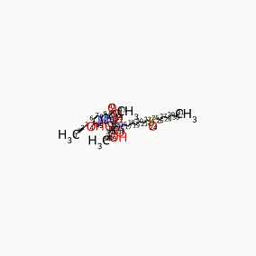 CC#CCOc1ccc(C[C@H](NC(=O)[C@@H](/C=C/CCCCCC[S+]([O-])CCCCCCC)[C@@](O)(CCC)C(=O)O)C(=O)OC)cc1